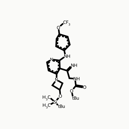 CC(C)(C)OC(=O)NCC(=N)c1c(N2CC(O[Si](C)(C)C(C)(C)C)C2)ccnc1Nc1ccc(OC(F)(F)F)cc1